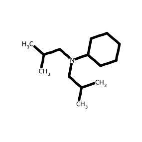 CC(C)CN(CC(C)C)C1CCCCC1